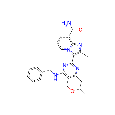 Cc1nc2c(C(N)=O)cccn2c1-c1nc2c(c(NCc3ccccc3)n1)COC(C)C2